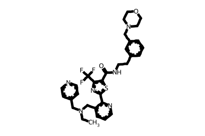 CCN(Cc1ccncc1)Cc1cccnc1-c1nc(C(F)(F)F)c(C(=O)NCCc2cccc(CN3CCOCC3)c2)s1